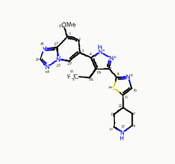 COc1cc(-c2[nH]nc(-c3ncc(C4CCNCC4)s3)c2CC(F)(F)F)cn2ncnc12